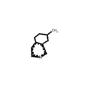 CC1CCc2ccncc2C1